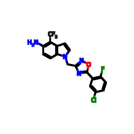 Nc1ccc2c(ccn2Cc2noc(-c3cc(Cl)ccc3F)n2)c1C(F)(F)F